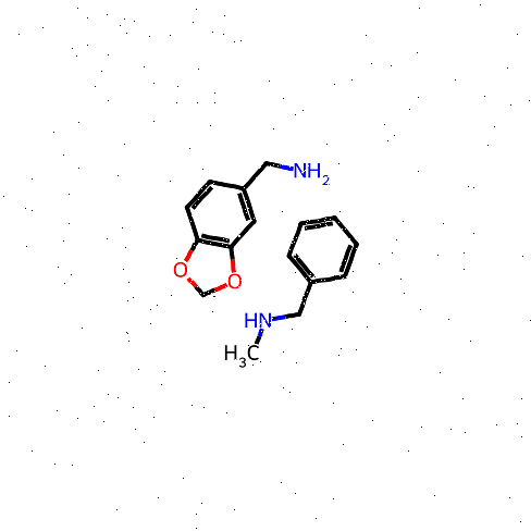 CNCc1ccccc1.NCc1ccc2c(c1)OCO2